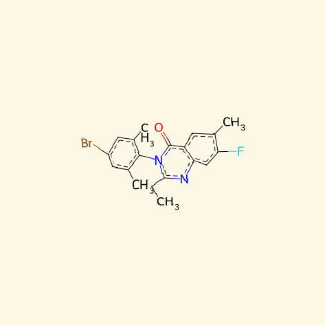 CCc1nc2cc(F)c(C)cc2c(=O)n1-c1c(C)cc(Br)cc1C